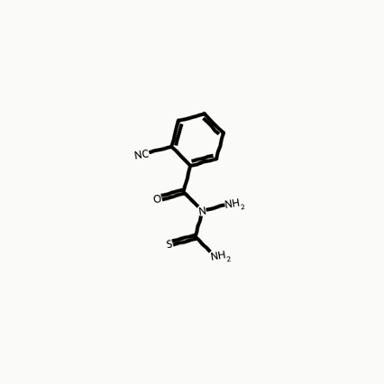 N#Cc1ccccc1C(=O)N(N)C(N)=S